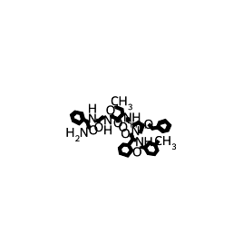 CCCC(NC(=O)[C@@H]1C[C@@H](OCc2ccccc2)CN1C(=O)C(NC(=O)C1CCCC(C)C1)C1CCCCC1)C(=O)C(=O)NCC(=O)NC(C(N)=O)c1ccccc1